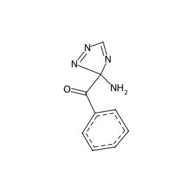 NC1(C(=O)c2ccccc2)N=CN=N1